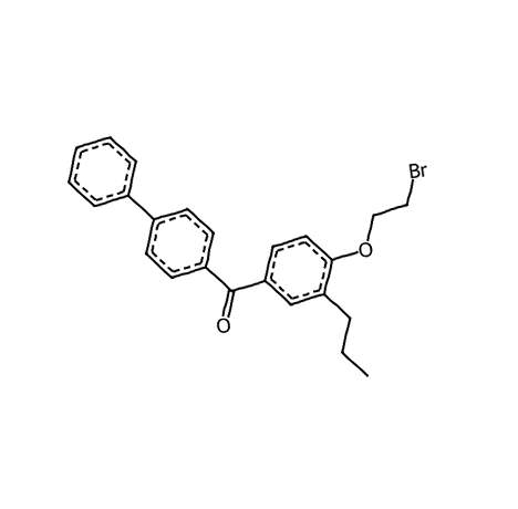 CCCc1cc(C(=O)c2ccc(-c3ccccc3)cc2)ccc1OCCBr